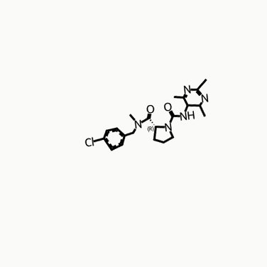 CC1=NC(C)C(NC(=O)N2CCC[C@@H]2C(=O)N(C)Cc2ccc(Cl)cc2)C(C)=N1